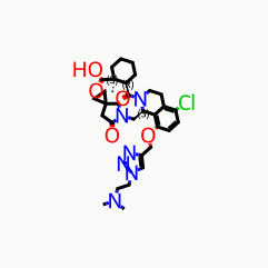 CN(C)CCn1cc(COc2ccc(Cl)c3c2[C@@H](CN2CC4(CC4)CC2=O)N(C(=O)[C@@H]2CCCC[C@]2(C)C(=O)O)CC3)nn1